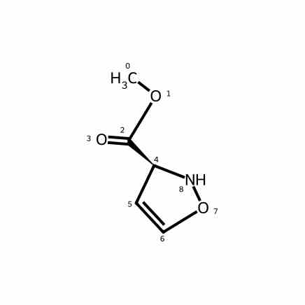 COC(=O)[C@@H]1C=CON1